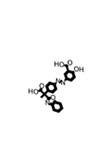 CC(C(=O)O)(c1ccc(N=Nc2ccc(O)c(C(=O)O)c2)cc1)c1nc2ccccc2o1